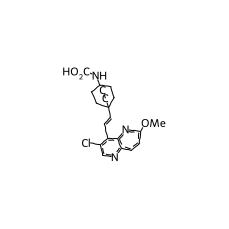 COc1ccc2ncc(Cl)c(C=CC34CCC(NC(=O)O)(CC3)CC4)c2n1